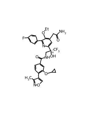 CCOc1c(CC(N)=O)cc([C@@](O)(CNC(=O)c2ccc(-c3conc3C)c(OC3CC3)c2)C(F)(F)F)nc1-c1ccc(F)cc1